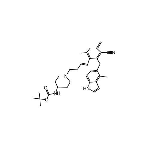 C=C/C(C#N)=C(/Cc1ccc2[nH]ccc2c1C)C(/C=C/CCN1CCC(NC(=O)OC(C)(C)C)CC1)=C(C)C